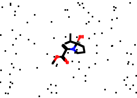 C=C(C(=O)OC)N1CCC[C@]1(O)C(C)C